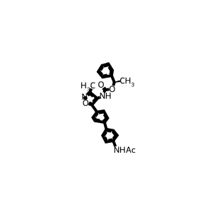 CC(=O)Nc1ccc(-c2ccc(-c3onc(C)c3NC(=O)O[C@H](C)c3ccccc3)cc2)cc1